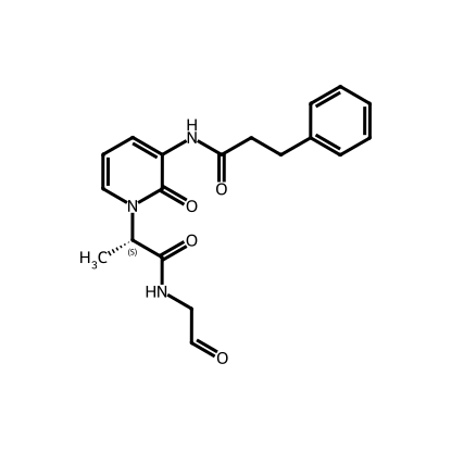 C[C@@H](C(=O)NCC=O)n1cccc(NC(=O)CCc2ccccc2)c1=O